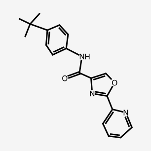 CC(C)(C)c1ccc(NC(=O)c2coc(-c3ccccn3)n2)cc1